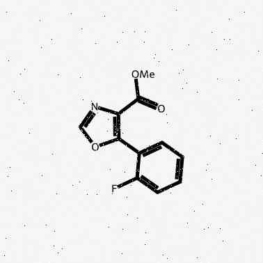 COC(=O)c1ncoc1-c1ccccc1F